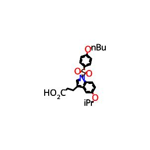 CCCCOc1ccc(S(=O)(=O)n2cc(CCC(=O)O)c3cc(OC(C)C)ccc32)cc1